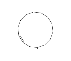 [CH]1CC=CCCCCCCCCCC1